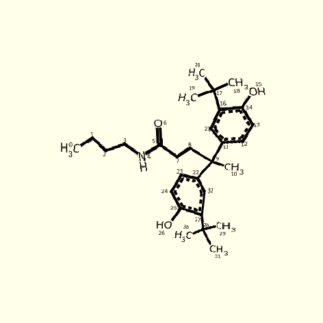 CCCCNC(=O)CCC(C)(c1ccc(O)c(C(C)(C)C)c1)c1ccc(O)c(C(C)(C)C)c1